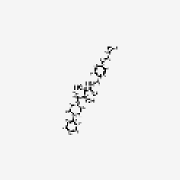 O=C(NCc1ccc(OCC2CC2)cc1)C(O)[C@@H](O)C(=O)N1CCN(c2ccccc2)CC1